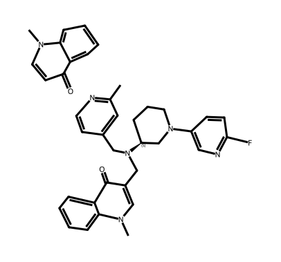 Cc1cc(CN(Cc2cn(C)c3ccccc3c2=O)[C@H]2CCCN(c3ccc(F)nc3)C2)ccn1.Cn1ccc(=O)c2ccccc21